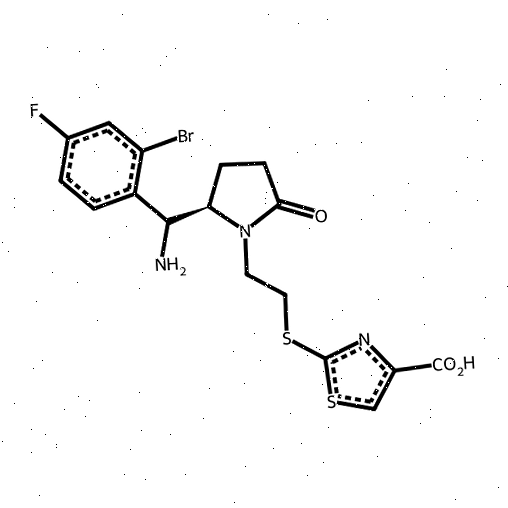 NC(c1ccc(F)cc1Br)[C@H]1CCC(=O)N1CCSc1nc(C(=O)O)cs1